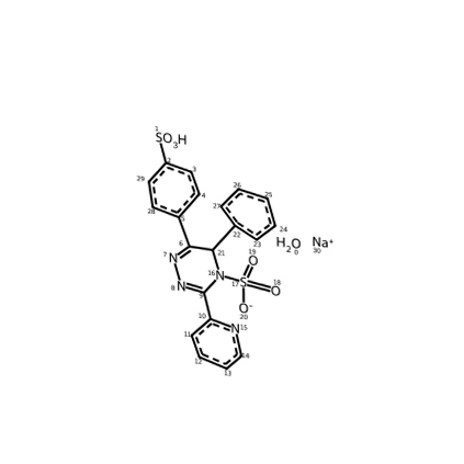 O.O=S(=O)(O)c1ccc(C2=NN=C(c3ccccn3)N(S(=O)(=O)[O-])C2c2ccccc2)cc1.[Na+]